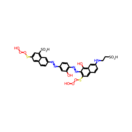 O=S(=O)(O)CCNc1ccc2cc(SOOO)c(N=Nc3ccc(N=Nc4ccc5cc(SOOO)cc(S(=O)(=O)O)c5c4)cc3O)c(O)c2c1